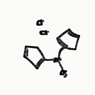 F[C](F)(F)[Zr+2]([C]1=CC=CC1)[C]1=CC=CC1.[Cl-].[Cl-]